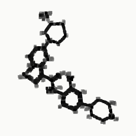 N[C@@H]1CCCN(c2ccn3ncc(C(=O)Nc4ccc(N5CCOCC5)cc4Br)c3n2)C1